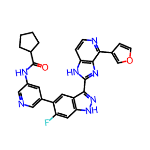 O=C(Nc1cncc(-c2cc3c(-c4nc5c(-c6ccoc6)nccc5[nH]4)n[nH]c3cc2F)c1)C1CCCC1